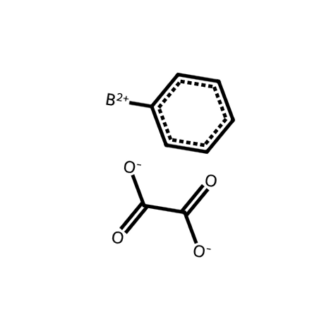 O=C([O-])C(=O)[O-].[B+2]c1ccccc1